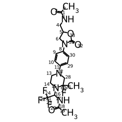 CC(=O)NCC1CN(c2ccc(N3CCN(C(NC(C)=O)C(F)(F)F)C(C)(F)C3)cc2)C(=O)O1